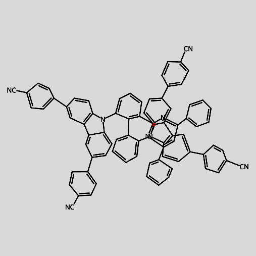 N#Cc1ccc(-c2ccc3c(c2)c2cc(-c4ccc(C#N)cc4)ccc2n3-c2ccccc2-c2c(-c3nc(-c4ccccc4)cc(-c4ccccc4)n3)cccc2-n2c3ccc(-c4ccc(C#N)cc4)cc3c3cc(-c4ccc(C#N)cc4)ccc32)cc1